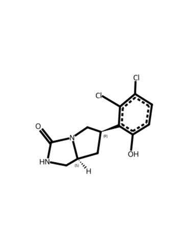 O=C1NC[C@@H]2C[C@H](c3c(O)ccc(Cl)c3Cl)CN12